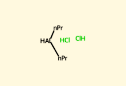 CC[CH2][AlH][CH2]CC.Cl.Cl